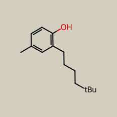 Cc1ccc(O)c(CCCCC(C)(C)C)c1